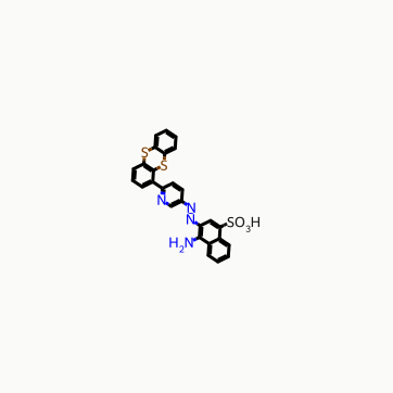 Nc1c(N=Nc2ccc(-c3cccc4c3Sc3ccccc3S4)nc2)cc(S(=O)(=O)O)c2ccccc12